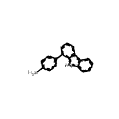 [SiH3]c1ccc(-c2cccc3c2[nH]c2ccccc23)cc1